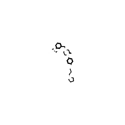 CS(=O)(=O)c1cccc(C(=O)N2CCN(c3ccc(OCCCN4CCCC4)cc3)C(=O)C2)c1